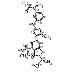 CNS(=O)(=O)c1cc(-c2sc(Nc3cccc(N(C)C(C)=O)n3)nc2C)cc2c1C(=O)N(C(C)C1CC1)C2